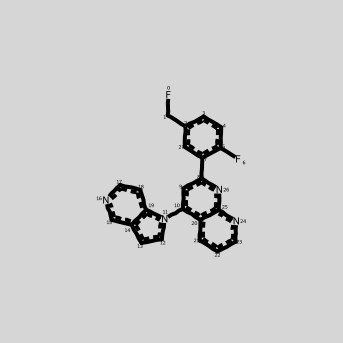 FCc1ccc(F)c(-c2cc(-n3ccc4cnccc43)c3cccnc3n2)c1